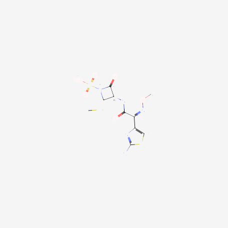 CO/N=C(\C(=O)N[C@@H]1C(=O)N(S(=O)(=O)O)[C@H]1SC)c1csc(N)n1